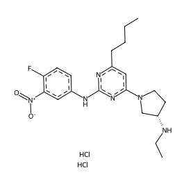 CCCCc1cc(N2CC[C@H](NCC)C2)nc(Nc2ccc(F)c([N+](=O)[O-])c2)n1.Cl.Cl